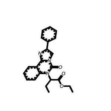 CCOC(=O)C(CC)n1c(=O)n2cc(-c3ccccc3)nc2c2ccccc21